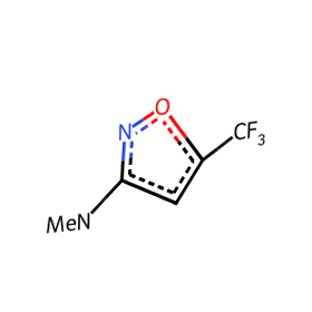 CNc1cc(C(F)(F)F)on1